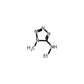 CCNc1nnnn1C